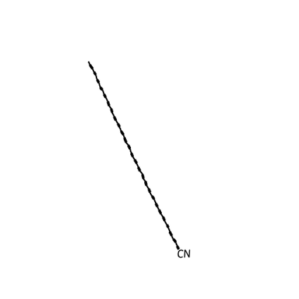 CC#CC#CC#CC#CC#CC#CC#CC#CC#CC#CC#CC#CC#CC#CC#CC#CC#CC#CC#CC#CC#CC#CC#CC#CC#CC#CC#N